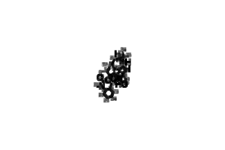 CC1=C[C@]23C(=O)[C@@H](C=C(CO)[C@@H](O)[C@]2(O)[C@H]1OC(=O)N(C)c1ccccc1C)[C@H]1[C@@H](C[C@H]3C)C1(C)C